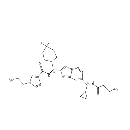 O=C(CCC(F)(F)F)N[C@@H](c1cnn2cc([C@@H](NC(=O)c3cnn(CCC(F)(F)F)c3)C3CCC(F)(F)CC3)nc2c1)C1CC1